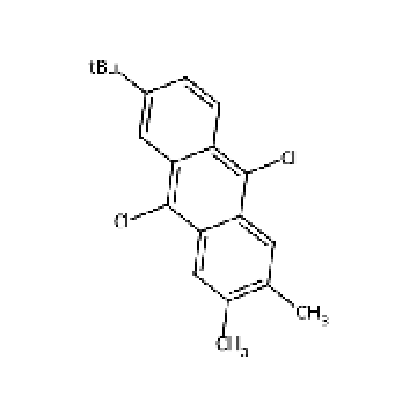 Cc1cc2c(Cl)c3ccc(C(C)(C)C)cc3c(Cl)c2cc1C